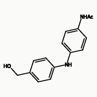 CC(=O)Nc1ccc(Nc2ccc(CO)cc2)cc1